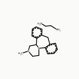 CN1CCN2c3ccccc3Cc3ccccc3C2C1.NCCN